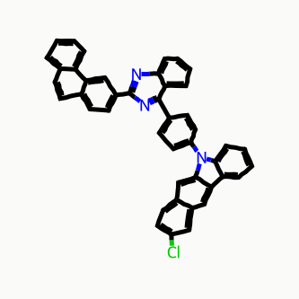 Clc1ccc2cc3c(cc2c1)c1ccccc1n3-c1ccc(-c2nc(-c3ccc4ccc5ccccc5c4c3)nc3ccccc23)cc1